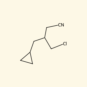 N#CCC(CCl)CC1CC1